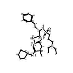 CCN(CC)CCCS(=O)(=O)N[C@H](CCc1ccccc1)c1nc(CN(C)C(=O)NC2CCCCC2)n[nH]1